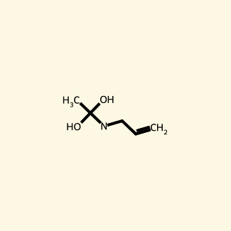 C=CC[N]C(C)(O)O